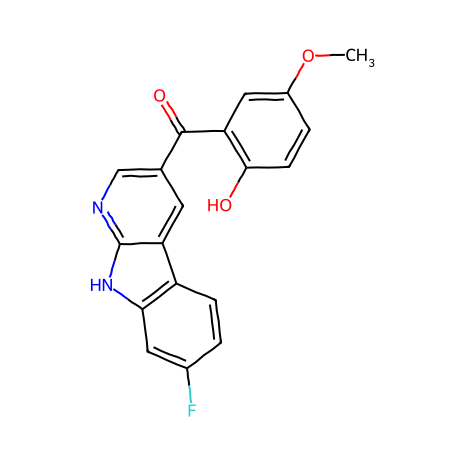 COc1ccc(O)c(C(=O)c2cnc3[nH]c4cc(F)ccc4c3c2)c1